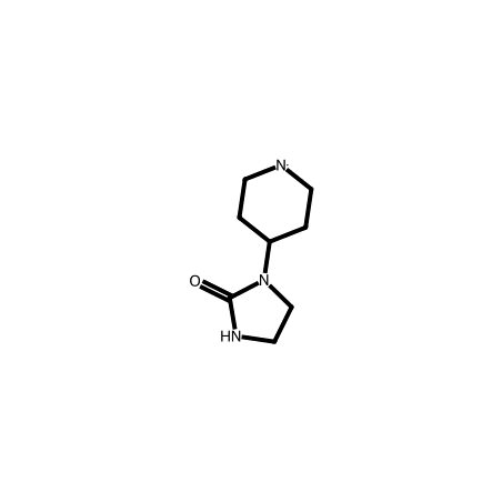 O=C1NCCN1C1CC[N]CC1